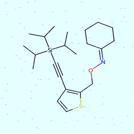 CC(C)[Si](C#Cc1ccsc1CON=C1CCCCC1)(C(C)C)C(C)C